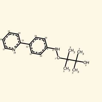 CC(C)(O)C(C)(C)OBc1ccc(-c2ccccn2)cc1